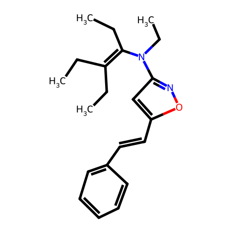 CCC(CC)=C(CC)N(CC)c1cc(C=Cc2ccccc2)on1